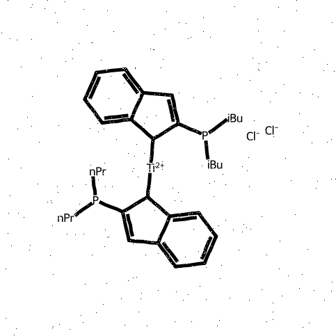 CCCP(CCC)C1=Cc2ccccc2[CH]1[Ti+2][CH]1C(P(C(C)CC)C(C)CC)=Cc2ccccc21.[Cl-].[Cl-]